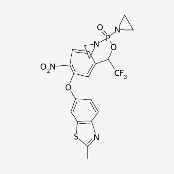 Cc1nc2ccc(Oc3cc(C(OP(=O)(N4CC4)N4CC4)C(F)(F)F)ccc3[N+](=O)[O-])cc2s1